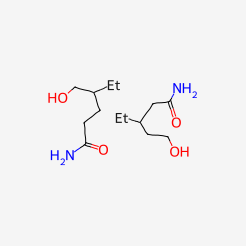 CCC(CCO)CC(N)=O.CCC(CO)CCC(N)=O